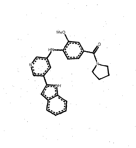 COc1cc(C(=O)N2CCCC2)ccc1Nc1cncc(-c2cc3ccccc3[nH]2)c1